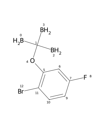 BC(B)(B)Oc1cc(F)ccc1Br